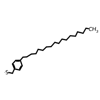 CCCCCCCCCCCCCCCCCCc1ccc(C[S])cc1